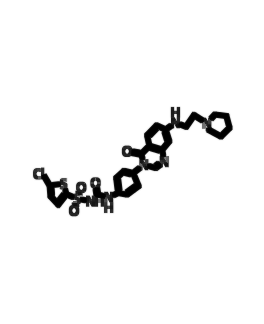 O=C(Nc1ccc(-n2cnc3cc(NCCN4CCCCC4)ccc3c2=O)cc1)NS(=O)(=O)c1ccc(Cl)s1